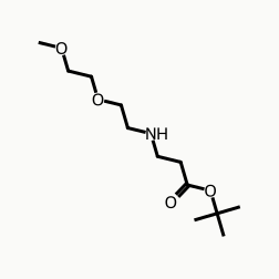 COCCOCCNCCC(=O)OC(C)(C)C